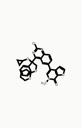 Cn1cc(-c2ccc3nc(Cl)nc(C(COC4CCCCO4)(OC4CC4)c4ccccc4)c3c2)c2ccoc2c1=O